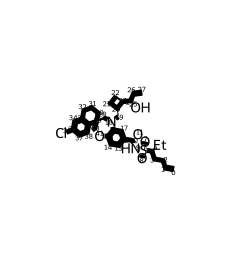 C=CCC[C@@H](CC)S(=O)(=O)NC(=O)c1ccc2c(c1)N(C[C@@H]1CC[C@H]1[C@H](O)C=C)C[C@@]1(CCCc3cc(Cl)ccc31)CO2